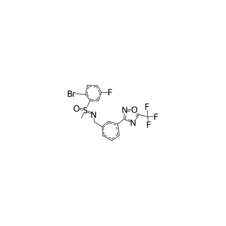 CS(=O)(=NCc1cccc(-c2noc(C(F)(F)F)n2)c1)c1cc(F)ccc1Br